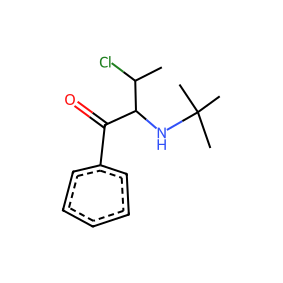 CC(Cl)C(NC(C)(C)C)C(=O)c1ccccc1